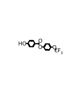 O=C(Oc1ccc(OC(F)(F)F)cc1)c1ccc(O)cc1